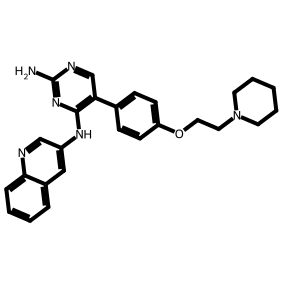 Nc1ncc(-c2ccc(OCCN3CCCCC3)cc2)c(Nc2cnc3ccccc3c2)n1